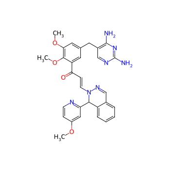 COc1ccnc(C2c3ccccc3C=NN2/C=C/C(=O)c2cc(Cc3cnc(N)nc3N)cc(OC)c2OC)c1